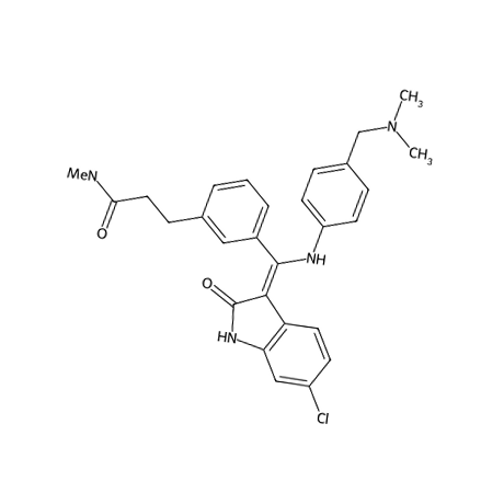 CNC(=O)CCc1cccc(C(Nc2ccc(CN(C)C)cc2)=C2C(=O)Nc3cc(Cl)ccc32)c1